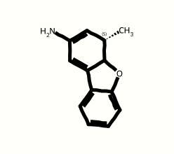 C[C@H]1C=C(N)C=C2c3ccccc3OC21